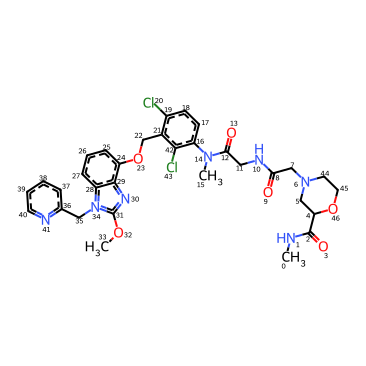 CNC(=O)C1CN(CC(=O)NCC(=O)N(C)c2ccc(Cl)c(COc3cccc4c3nc(OC)n4Cc3ccccn3)c2Cl)CCO1